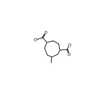 CC1CCC(C(=O)Cl)CCC(C(=O)Cl)C1